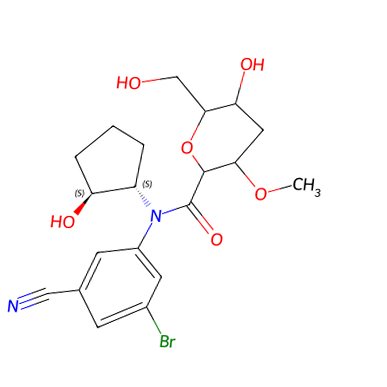 COC1CC(O)C(CO)OC1C(=O)N(c1cc(Br)cc(C#N)c1)[C@H]1CCC[C@@H]1O